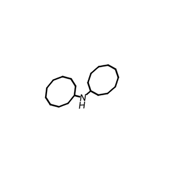 C1CCCCC(NC2CCCCCCCCC2)CCCC1